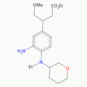 CCOC(=O)CC(COC)c1ccc(N(CC)C2CCCOC2)c(N)c1